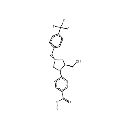 COC(=O)c1ccc(N2C[C@@H](Oc3ccc(C(F)(F)F)cc3)C[C@H]2CO)cc1